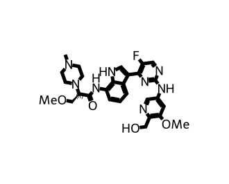 COC[C@H](C(=O)Nc1cccc2c(-c3nc(Nc4cnc(CO)c(OC)c4)ncc3F)c[nH]c12)N1CCN(C)CC1